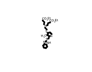 CCOC(=O)CCCN(CCCC(=O)OCC)CCSc1ccnc(CSc2nc3ccccc3[nH]2)c1C